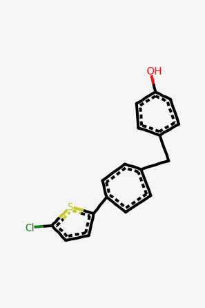 Oc1ccc(Cc2ccc(-c3ccc(Cl)s3)cc2)cc1